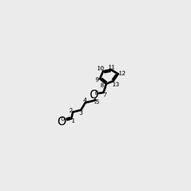 O=CCCC[CH]OCc1ccccc1